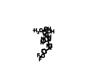 [CH2][C@@H]1C[C@@H](Nc2ncncc2C(=O)c2ccn(Cc3cccc(OC(F)F)c3)n2)[C@H](O)[C@@H]1O